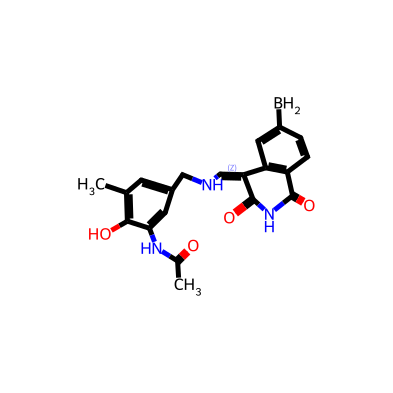 Bc1ccc2c(c1)/C(=C/NCc1cc(C)c(O)c(NC(C)=O)c1)C(=O)NC2=O